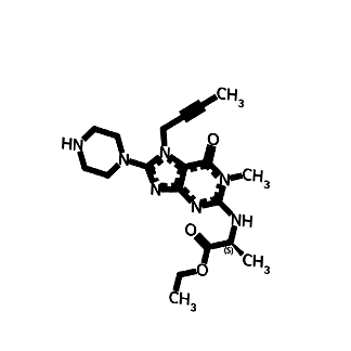 CC#CCn1c(N2CCNCC2)nc2nc(N[C@@H](C)C(=O)OCC)n(C)c(=O)c21